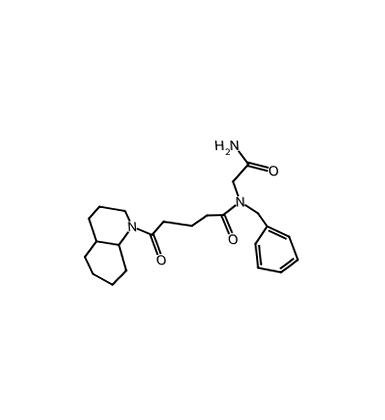 NC(=O)CN(Cc1ccccc1)C(=O)CCCC(=O)N1CCCC2CCCCC21